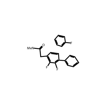 CNC(=O)Cc1ccc(-c2ccccc2)c(F)c1F.Fc1ccccc1